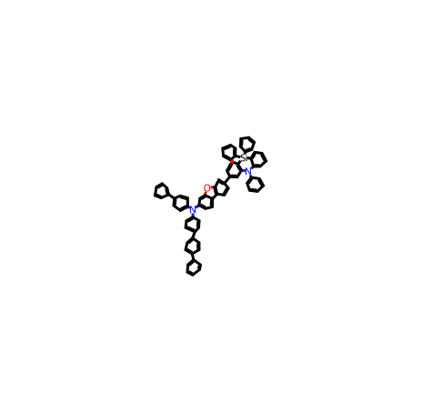 c1ccc(-c2ccc(-c3ccc(N(c4ccc(-c5ccccc5)cc4)c4ccc5c(c4)oc4cc(-c6ccc7c(c6)N(c6ccccc6)c6ccccc6[Si]7(c6ccccc6)c6ccccc6)ccc45)cc3)cc2)cc1